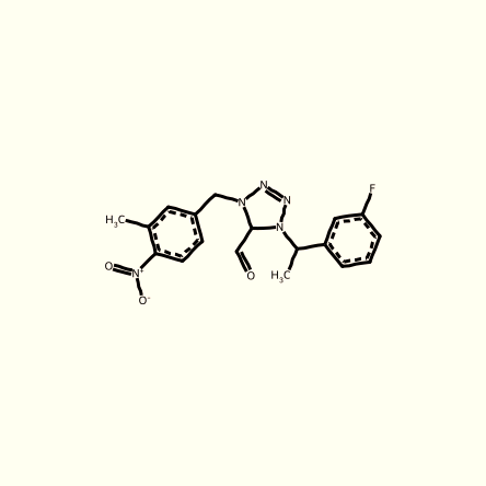 Cc1cc(CN2N=NN(C(C)c3cccc(F)c3)C2C=O)ccc1[N+](=O)[O-]